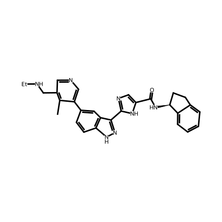 CCNCc1cncc(-c2ccc3[nH]nc(-c4ncc(C(=O)N[C@H]5CCc6ccccc65)[nH]4)c3c2)c1C